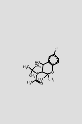 CC1(C)Oc2ccc(Cl)cc2C(O)C1N(C(N)=O)C(C)(C)C